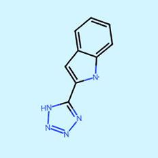 C1=C(c2nnn[nH]2)[N]c2ccccc21